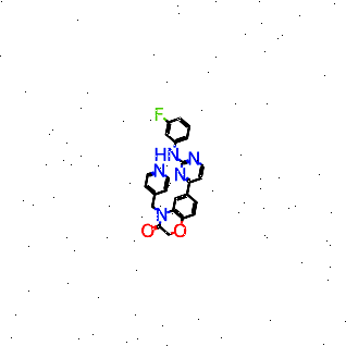 O=C1COc2ccc(-c3ccnc(Nc4cccc(F)c4)n3)cc2N1Cc1ccncc1